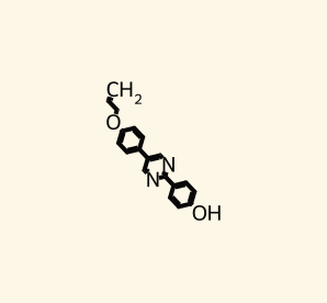 C=CCOc1ccc(-c2cnc(-c3ccc(O)cc3)nc2)cc1